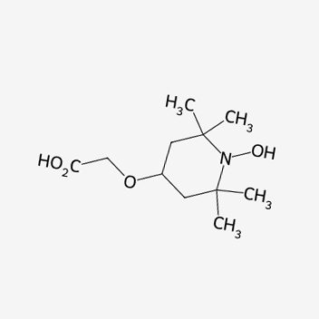 CC1(C)CC(OCC(=O)O)CC(C)(C)N1O